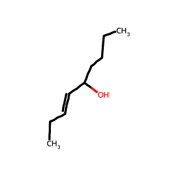 CCC=CC(O)CCCC